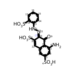 Nc1cc(S(=O)(=O)O)cc2c1C(=O)/C(=N/Nc1ccccc1S(=O)(=O)O)C(S(=O)(=O)O)=C2